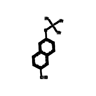 CC(C)[Si](Oc1ccc2cc(C=O)ccc2c1)(C(C)C)C(C)C